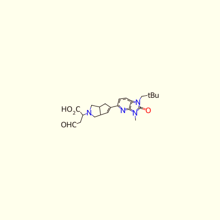 Cn1c(=O)n(CC(C)(C)C)c2ccc(C3=CC4CN(C(CC=O)C(=O)O)CC4C3)nc21